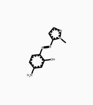 Cn1nccc1/N=N/c1ccc(N)cc1O